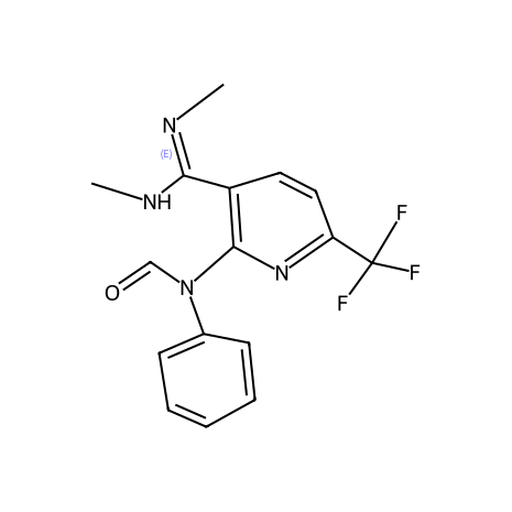 C/N=C(/NC)c1ccc(C(F)(F)F)nc1N(C=O)c1ccccc1